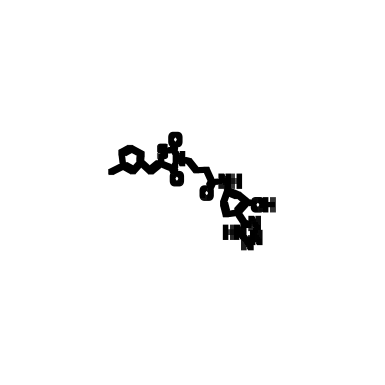 Cc1cccc(/C=C2\SC(=O)N(CCCC(=O)Nc3ccc(-c4nnn[nH]4)c(O)c3)C2=O)c1